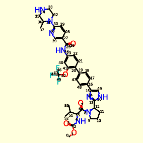 COC(=O)N[C@H](C(=O)N1CCCC1c1nc(-c2ccc(-c3ccc(NC(=O)c4ccc(N5CCNCC5C)nc4)cc3OC(F)(F)F)cc2)c[nH]1)C(C)C